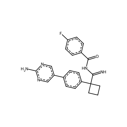 N=C(NC(=O)c1ccc(F)cc1)C1(c2ccc(-c3cnc(N)nc3)cc2)CCC1